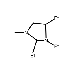 CCC1CN(C)C(CC)N1CC